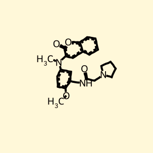 COc1ccc(N(C)c2cc3ccccc3oc2=O)cc1NC(=O)CN1CCCC1